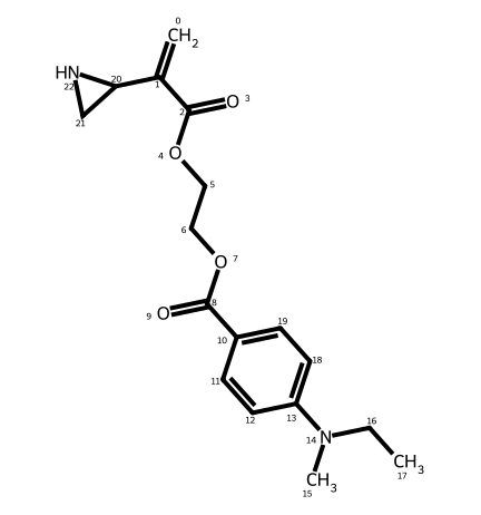 C=C(C(=O)OCCOC(=O)c1ccc(N(C)CC)cc1)C1CN1